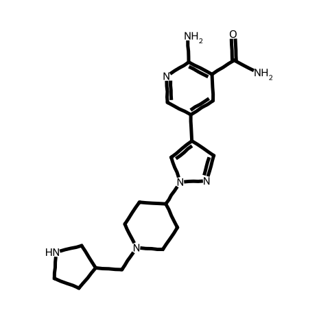 NC(=O)c1cc(-c2cnn(C3CCN(CC4CCNC4)CC3)c2)cnc1N